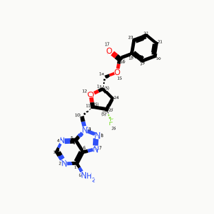 Nc1ncnc2c1nnn2C[C@@H]1O[C@H](COC(=O)c2ccccc2)C[C@@H]1F